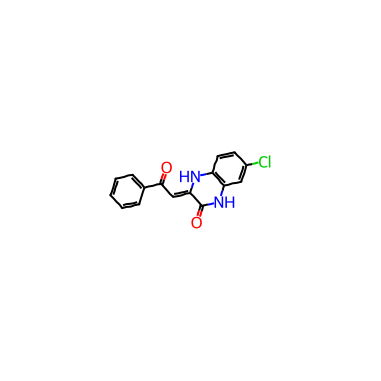 O=C1Nc2cc(Cl)ccc2NC1=CC(=O)c1ccccc1